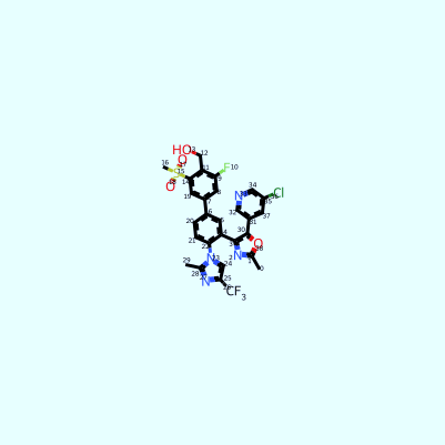 Cc1nc(-c2cc(-c3cc(F)c(CO)c(S(C)(=O)=O)c3)ccc2-n2cc(C(F)(F)F)nc2C)c(-c2cncc(Cl)c2)o1